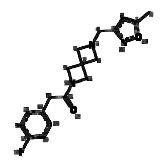 Cc1cc(CN2CC3(C2)CN(C(=O)Cc2ccc(F)cc2)C3)no1